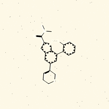 COc1ccccc1-c1cc(C2=CCCNC2)cc2cc(C(=O)N(C)C)oc12